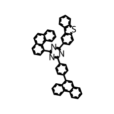 c1ccc2c(c1)cc(-c1ccc(-c3nc(-c4ccc5sc6ccccc6c5c4)nc(-c4cccc5ccc6ccccc6c45)n3)cc1)c1ccccc12